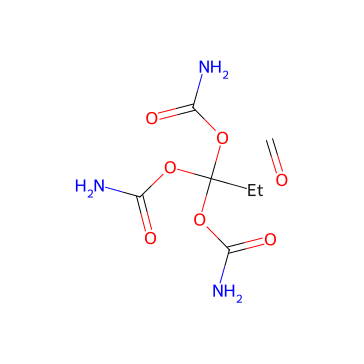 C=O.CCC(OC(N)=O)(OC(N)=O)OC(N)=O